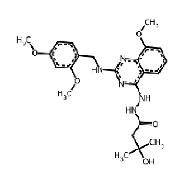 COc1ccc(CNc2nc(NNC(=O)CC(C)(C)O)c3cccc(OC)c3n2)c(OC)c1